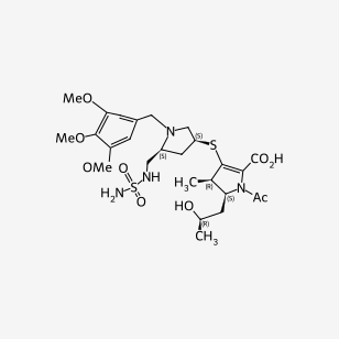 COc1cc(CN2C[C@@H](SC3=C(C(=O)O)N(C(C)=O)[C@@H](C[C@@H](C)O)[C@H]3C)C[C@H]2CNS(N)(=O)=O)cc(OC)c1OC